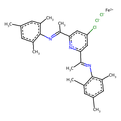 CC(=Nc1c(C)cc(C)cc1C)c1cc(Cl)cc(C(C)=Nc2c(C)cc(C)cc2C)n1.[Cl-].[Cl-].[Fe+2]